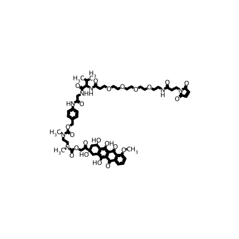 COc1cccc2c1C(=O)c1c(O)c3c(c(O)c1C2=O)C[C@@](O)(C(=O)COC(=O)N(C)CCN(C)C(=O)OCc1ccc(NC(=O)CNC(=O)C(NC(=O)CCOCCOCCOCCOCCNC(=O)CCN2C(=O)C=CC2=O)C(C)C)cc1)C[C@@H]3O